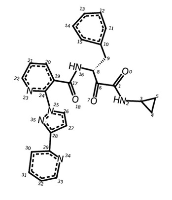 O=C(NC1CC1)C(=O)[C@@H](Cc1ccccc1)NC(=O)c1cccnc1-n1ccc(-c2ccccn2)n1